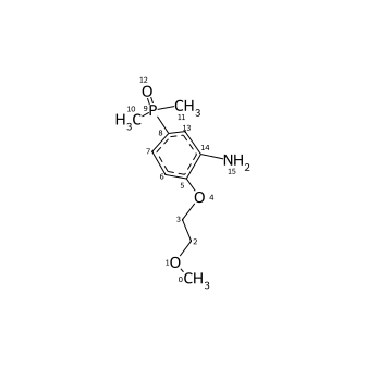 COCCOc1ccc(P(C)(C)=O)cc1N